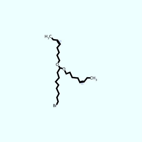 CC/C=C\CCCCOC(CCCCCCCCBr)OCCCC/C=C\CC